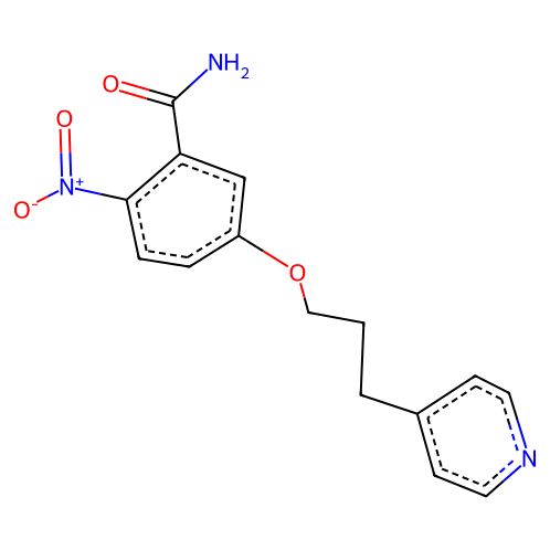 NC(=O)c1cc(OCCCc2ccncc2)ccc1[N+](=O)[O-]